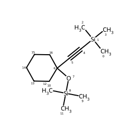 C[Si](C)(C)C#CC1(O[Si](C)(C)C)CCCCC1